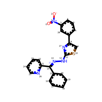 O=[N+]([O-])c1cccc(-c2csc(N/N=C(\c3ccccc3)c3ccccn3)n2)c1